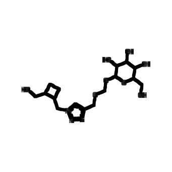 OCC1CCC1Cn1cc(COCOC2OC(CO)C(O)C(O)C2O)nn1